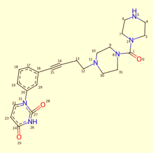 O=C(N1CCNCC1)N1CCN(CCC#Cc2cccc(-n3ccc(=O)[nH]c3=O)c2)CC1